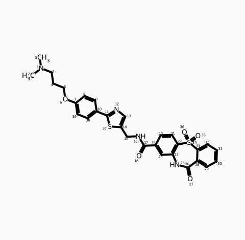 CN(C)CCCOc1ccc(-c2ncc(CNC(=O)c3ccc4c(c3)NC(=O)c3ccccc3S4(=O)=O)s2)cc1